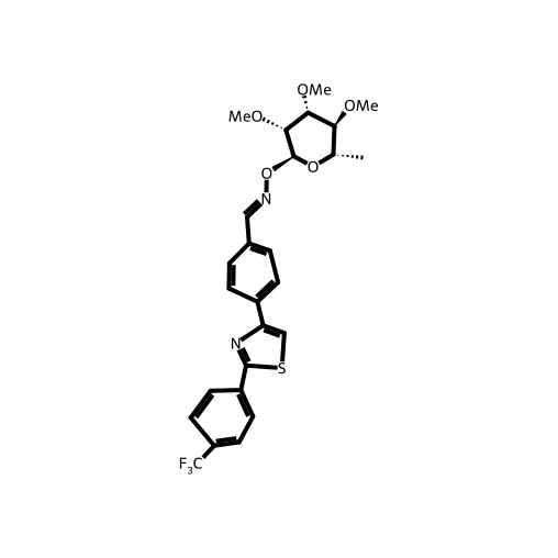 CO[C@@H]1[C@@H](OC)[C@H](C)O[C@@H](O/N=C/c2ccc(-c3csc(-c4ccc(C(F)(F)F)cc4)n3)cc2)[C@@H]1OC